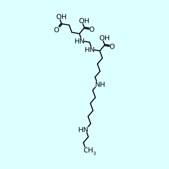 CCCNCCCCCCNCCCCC(NCNC(CCC(=O)O)C(=O)O)C(=O)O